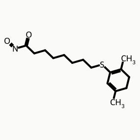 CC1=CC(SCCCCCCCC(=O)N=O)=C(C)CC1